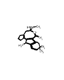 C=C1OC(NC)CC2=C(CCC2)C2=C1C1=C(CCC(C)(C)C1)C2C